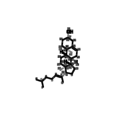 CC(=CCCC(C)C)[C@H]1CC[C@H]2[C@@H]3CC=C4C[C@@H](O)CC[C@]4(C)[C@H]3CC[C@]12C